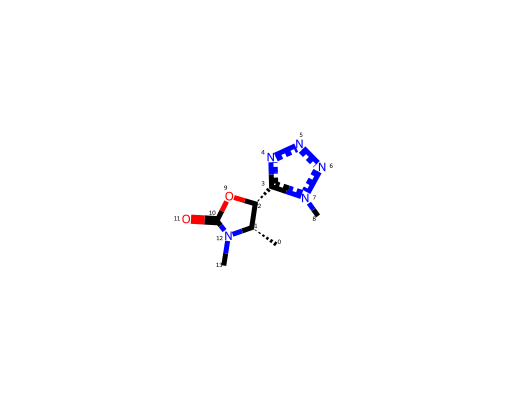 C[C@H]1[C@@H](c2nnnn2C)OC(=O)N1C